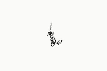 CCCCCCCCc1cnc(-c2ccc(OCC(C)OC(=O)CCC(C)=O)cc2)nc1